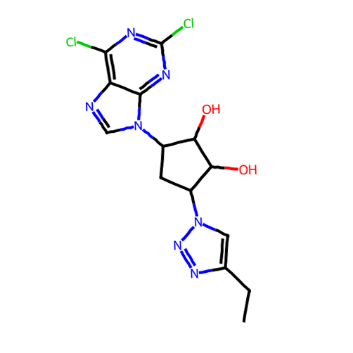 CCc1cn(C2CC(n3cnc4c(Cl)nc(Cl)nc43)C(O)C2O)nn1